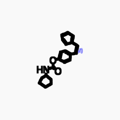 O=C(NC1CCCCC1)Oc1ccc(/C=C\c2ccccc2)cc1